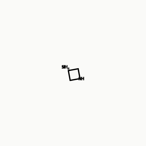 C1CNC1.[SiH4]